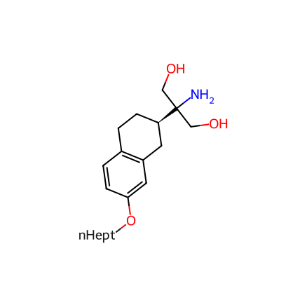 CCCCCCCOc1ccc2c(c1)C[C@H](C(N)(CO)CO)CC2